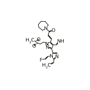 C=Cc1ncc(-c2nn(CCS(C)(=O)=O)c(/C=C/C(=O)N3CCCCCC3)c2C=N)n1/C=C/F